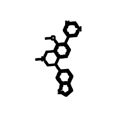 COc1c(-c2cncnc2)ccc2c1CN(C)CC2c1ccc2ccsc2c1